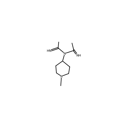 CC(=N)N(C(C)=N)C1CCN(C)CC1